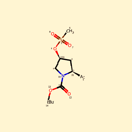 CC(=O)[C@@H]1C[C@H](OS(C)(=O)=O)CN1C(=O)OC(C)(C)C